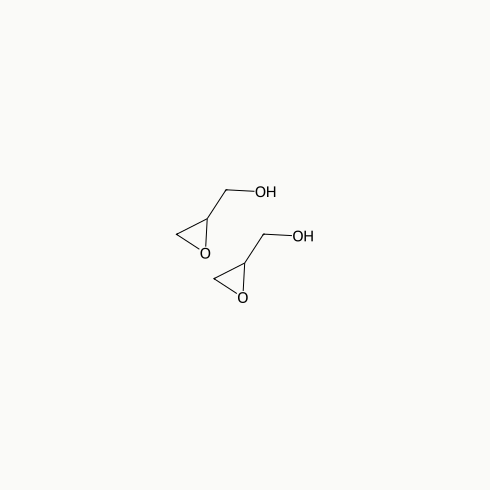 OCC1CO1.OCC1CO1